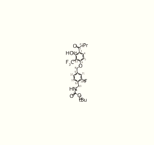 CC(C)C(=O)c1ccc(OCc2ccc(CNC(=O)OC(C)(C)C)c(F)c2)c(C(F)(F)F)c1O